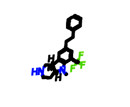 CN1c2c(cc(CCc3ccccc3)cc2C(F)(F)F)[C@H]2CNCC[C@H]21